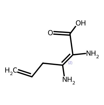 C=CC/C(N)=C(/N)C(=O)O